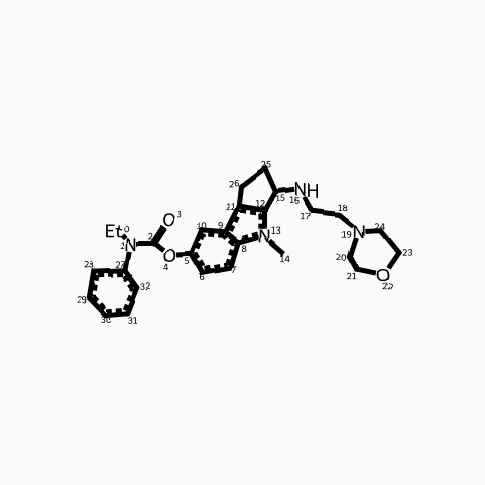 CCN(C(=O)Oc1ccc2c(c1)c1c(n2C)C(NCCN2CCOCC2)CC1)c1ccccc1